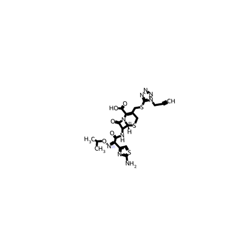 C#CCn1nnnc1SCC1=C(C(=O)O)N2C(=O)C(NC(=O)/C(=N\OC(C)C)c3csc(N)n3)[C@H]2SC1